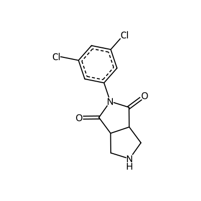 O=C1C2CNCC2C(=O)N1c1cc(Cl)cc(Cl)c1